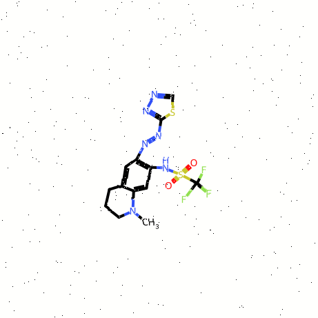 CN1CCCc2cc(N=Nc3nncs3)c(NS(=O)(=O)C(F)(F)F)cc21